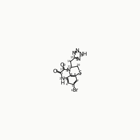 O=c1[nH]c2cc(Br)cc3c2n(c1=O)C(Cc1nn[nH]n1)CS3